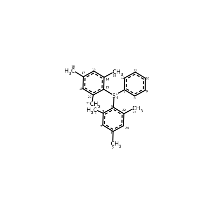 Cc1cc(C)c([S+](c2ccccc2)c2c(C)cc(C)cc2C)c(C)c1